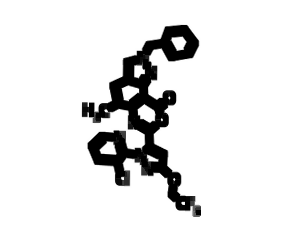 Cc1cc2cn(Cc3ccccc3)nc2c2c(=O)oc(-c3cc(OCC(F)(F)F)nn3-c3ncccc3Cl)nc12